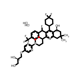 CC1(C)Cc2nc(C3CCN(c4ncc(OC[C@H](O)CO)cn4)CC3)c(C(F)c3ccc(C(F)(F)F)cc3)c(C3CCC(F)(F)CC3)c2[C@@H](O)C1.Cl.Cl